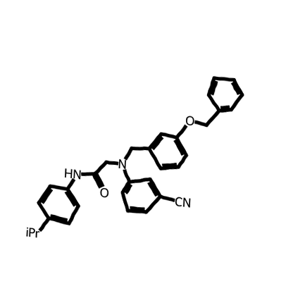 CC(C)c1ccc(NC(=O)CN(Cc2cccc(OCc3ccccc3)c2)c2cccc(C#N)c2)cc1